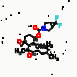 CO[C@H]1C([C@@]2(C)O[C@@H]2CC=C(C)C)[C@]2(CC[C@H]1OC(=O)N1CC3C(C1)C3(F)F)CO2